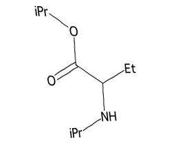 CCC(NC(C)C)C(=O)OC(C)C